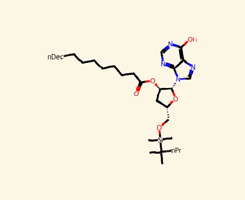 CCCCCCCCCCCCCCCCCC(=O)O[C@@H]1C[C@@H](CO[Si](C)(C)C(C)(C)CCC)O[C@H]1n1cnc2c(O)ncnc21